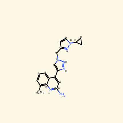 COc1cccc2c(-c3cn(Cc4ccn(C5CC5)n4)nn3)cc(N)nc12